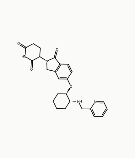 O=C1CCC(N2Cc3cc(O[C@@H]4CCCC[C@H]4NCc4ccccn4)ccc3C2=O)C(=O)N1